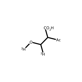 [2H]OC([2H])C(C(C)=O)C(=O)O